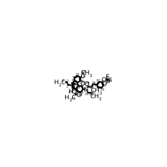 C=CCN1CC[C@]23c4c5ccc(OC)c4OC2C(N(CC(C)C)C(=O)/C=C/c2cccc(OC(F)(F)F)c2)CC[C@@]3(OC(C)=O)[C@H]1C5